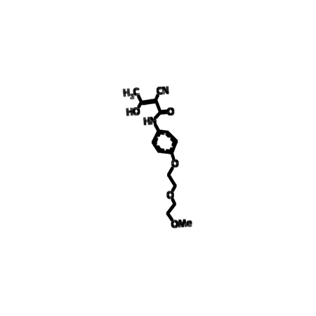 COCCOCCOc1ccc(NC(=O)C(C#N)=C(C)O)cc1